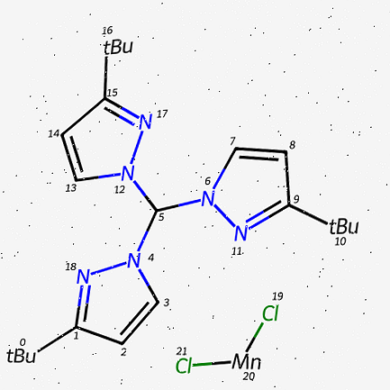 CC(C)(C)c1ccn(C(n2ccc(C(C)(C)C)n2)n2ccc(C(C)(C)C)n2)n1.[Cl][Mn][Cl]